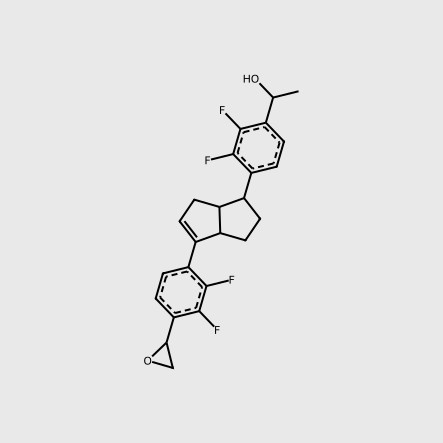 CC(O)c1ccc(C2CCC3C(c4ccc(C5CO5)c(F)c4F)=CCC32)c(F)c1F